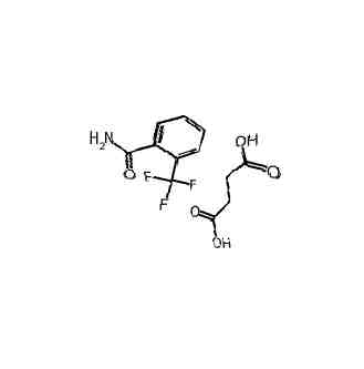 NC(=O)c1ccccc1C(F)(F)F.O=C(O)CCC(=O)O